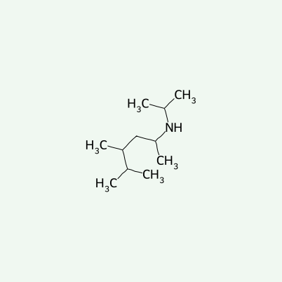 CC(C)NC(C)CC(C)C(C)C